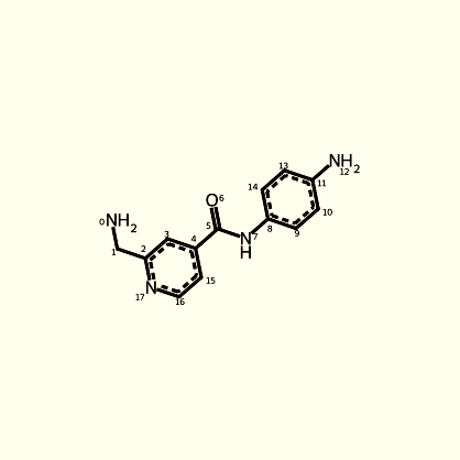 NCc1cc(C(=O)Nc2ccc(N)cc2)ccn1